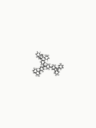 c1ccc(-c2nc3ccccc3nc2-c2ccc(N(c3ccc(-c4ccc5c(c4)c4ccccc4n5-c4ccccc4)cc3)c3ccc(-c4cccc5ccccc45)cc3)cc2)cc1